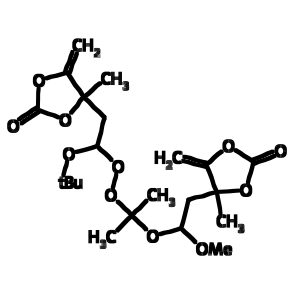 C=C1OC(=O)OC1(C)CC(OOC(C)(C)OC(CC1(C)OC(=O)OC1=C)OC)OC(C)(C)C